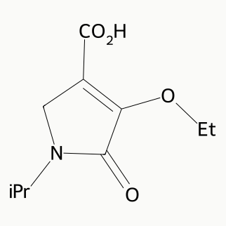 CCOC1=C(C(=O)O)CN(C(C)C)C1=O